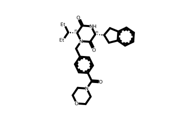 CCC(CC)[C@@H]1C(=O)N[C@H](C2Cc3ccccc3C2)C(=O)N1Cc1ccc(C(=O)N2CCOCC2)cc1